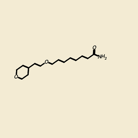 NC(=O)CCCCCCCOCCC1CCOCC1